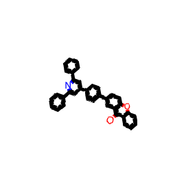 O=c1c2ccccc2oc2ccc(-c3ccc(-c4cc(-c5ccccc5)nc(-c5ccccc5)c4)cc3)cc12